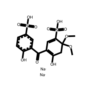 COC1(OC)CC(O)=C(C(=O)c2cc(S(=O)(=O)O)ccc2O)C=C1S(=O)(=O)O.[Na].[Na]